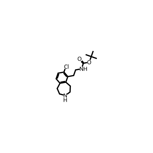 CC(C)(C)OC(=O)NCCc1c(Cl)ccc2c1CCNCC2